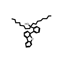 CCCCCCCCC(O)(CCCCCCCC)c1ccccc1-c1cccc2c1oc1ccccc12